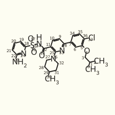 CC(C)COc1cc(-c2ccc(C(=O)NS(=O)(=O)c3cccc(N)n3)c(N3CCC(C)CC3)n2)ccc1Cl